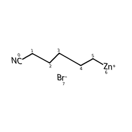 N#CCCCC[CH2][Zn+].[Br-]